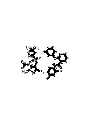 Cn1nc(C(F)(F)F)c(CS(=O)(=O)C2=NOC(C)(C)C2)c1OC(F)F.O=C(Nc1ccc(F)cc1F)c1cccnc1Oc1cccc(C(F)(F)F)c1